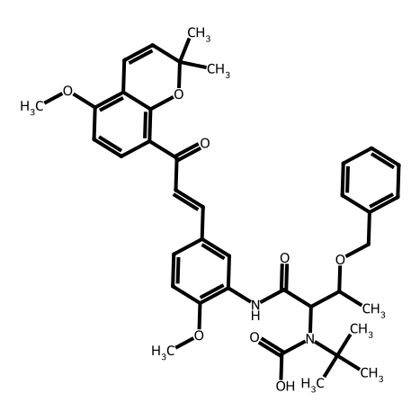 COc1ccc(C=CC(=O)c2ccc(OC)c3c2OC(C)(C)C=C3)cc1NC(=O)C(C(C)OCc1ccccc1)N(C(=O)O)C(C)(C)C